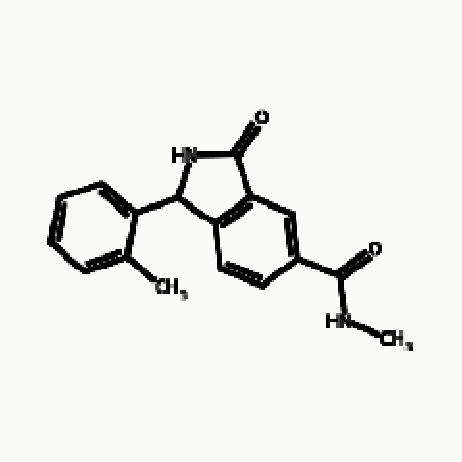 CNC(=O)c1ccc2c(c1)C(=O)NC2c1ccccc1C